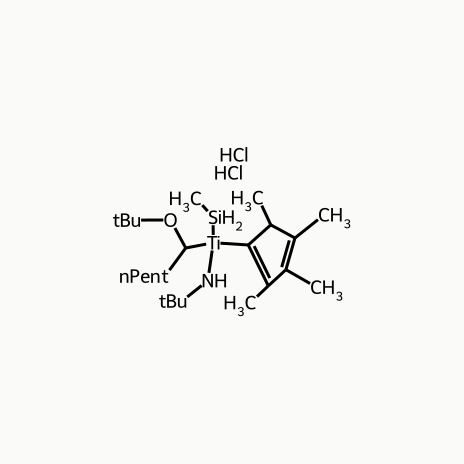 CCCCC[CH](OC(C)(C)C)[Ti]([NH]C(C)(C)C)([SiH2]C)[C]1=C(C)C(C)=C(C)C1C.Cl.Cl